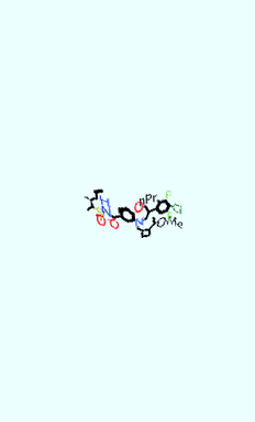 C=CC[C@H](C)C(C)[S+]([O-])NC(=O)c1ccc2c(c1)N(CC1CCC1C(C)OC)CC(c1cc(F)c(Cl)c(F)c1CCC)CO2